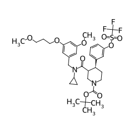 COCCCOc1cc(CN(C(=O)C2CN(C(=O)OC(C)(C)C)CC[C@@H]2c2cccc(OS(=O)(=O)C(F)(F)F)c2)C2CC2)cc(OC)c1